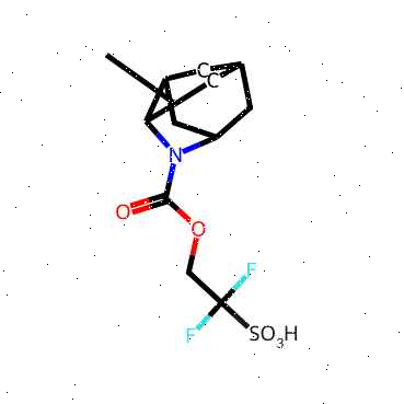 CC1CC2CC3CC(C2)N(C(=O)OCC(F)(F)S(=O)(=O)O)C13